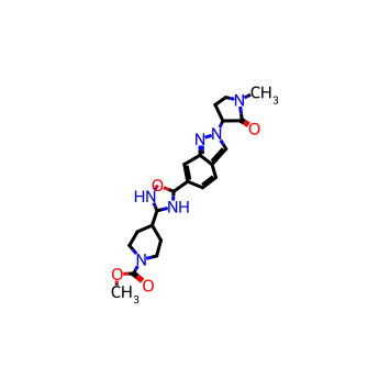 COC(=O)N1CCC(C2NOC(c3ccc4cn(C5CCN(C)C5=O)nc4c3)N2)CC1